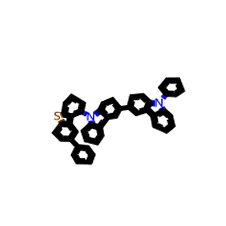 c1ccc(-c2ccc3sc4cccc(-n5c6ccccc6c6cc(-c7ccc8c(c7)c7ccccc7n8-c7ccccc7)ccc65)c4c3c2)cc1